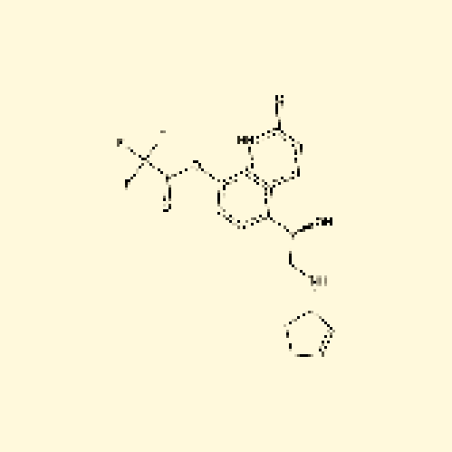 O=C(Oc1ccc([C@@H](O)CN[C@@H]2C=CCC2)c2ccc(=O)[nH]c12)C(F)(F)F